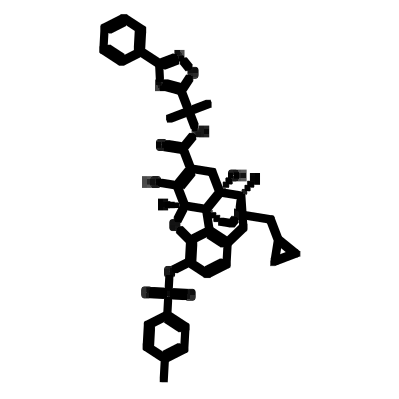 Cc1ccc(S(=O)(=O)Oc2ccc3c4c2O[C@H]2C(O)=C(C(=O)NC(C)(C)c5nc(-c6ccccc6)no5)C[C@@]5(O)[C@@H](C3)N(CC3CC3)CC[C@]425)cc1